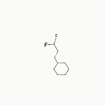 F[C](F)CCC1CCCCC1